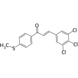 CSc1ccc(C(=O)C=Cc2cc(Cl)c(Cl)c(Cl)c2)cc1